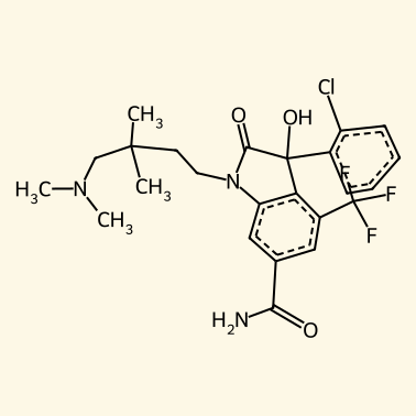 CN(C)CC(C)(C)CCN1C(=O)C(O)(c2ccccc2Cl)c2c1cc(C(N)=O)cc2C(F)(F)F